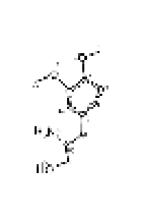 COc1ccc(C[C@@H](N)CO)cc1OC